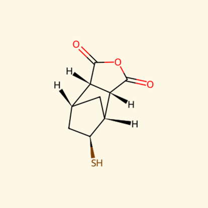 O=C1OC(=O)[C@H]2[C@@H]3C[C@H]([C@@H]12)[C@@H](S)C3